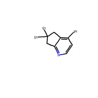 CCC1(CC)Cc2nccc(C(C)C)c2C1